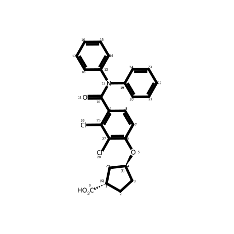 O=C(O)[C@H]1CC[C@H](Oc2ccc(C(=O)N(c3ccccc3)c3ccccc3)c(Cl)c2Cl)C1